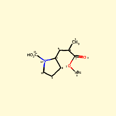 CCCCOC(=O)C(C)CC1CCCN1C(=O)O